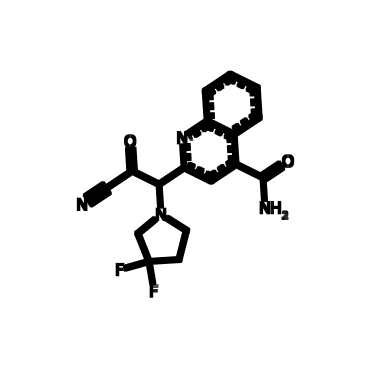 N#CC(=O)C(c1cc(C(N)=O)c2ccccc2n1)N1CCC(F)(F)C1